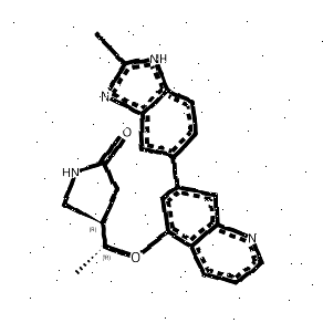 Cc1nc2cc(-c3cc(O[C@H](C)[C@H]4CNC(=O)C4)c4cccnc4c3)ccc2[nH]1